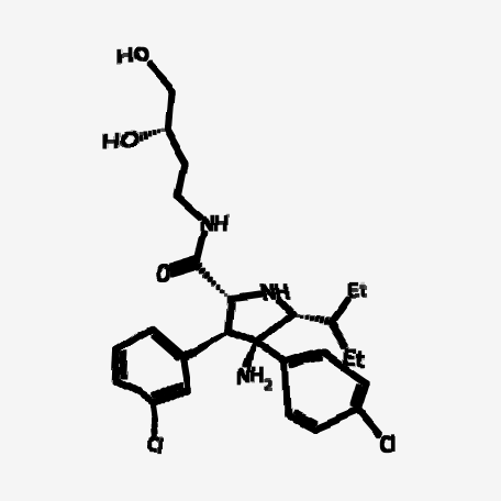 CCC(CC)[C@H]1N[C@@H](C(=O)NCC[C@H](O)CO)[C@H](c2cccc(Cl)c2)[C@@]1(N)c1ccc(Cl)cc1